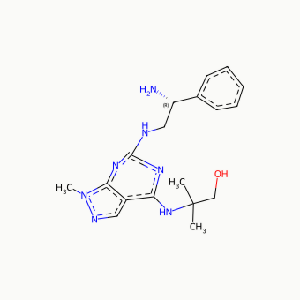 Cn1ncc2c(NC(C)(C)CO)nc(NC[C@H](N)c3ccccc3)nc21